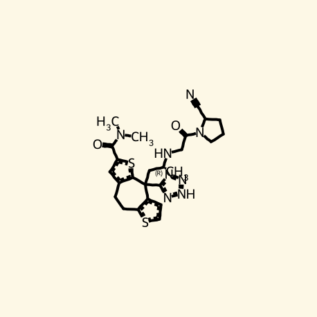 C[C@H](CC1(c2nn[nH]n2)c2ccsc2CCc2cc(C(=O)N(C)C)sc21)NCC(=O)N1CCCC1C#N